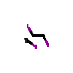 ICCI.[Ti][I]